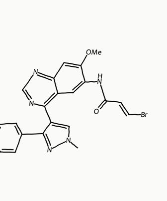 COc1cc2ncnc(-c3cn(C)nc3-c3ccccc3)c2cc1NC(=O)C=CBr